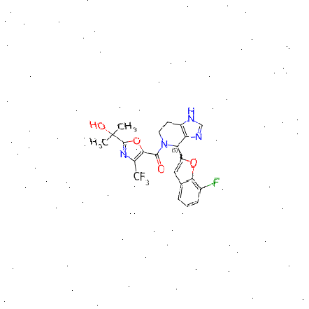 CC(C)(O)c1nc(C(F)(F)F)c(C(=O)N2CCc3[nH]cnc3[C@H]2c2cc3cccc(F)c3o2)o1